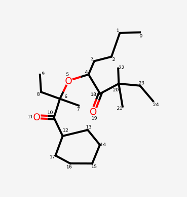 CCCCC(OC(C)(CC)C(=O)C1CCCCC1)C(=O)C(C)(C)CC